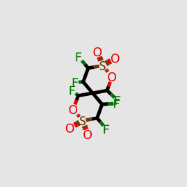 O=S1(=O)OC(F)C2(C(F)OS(=O)(=O)C(F)C2F)C(F)C1F